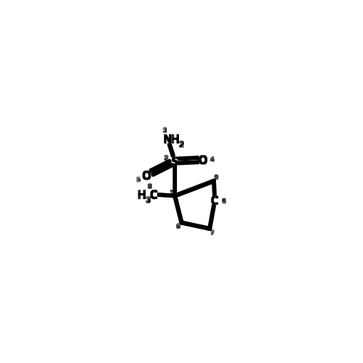 CC1(S(N)(=O)=O)CCCC1